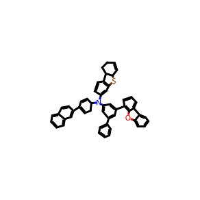 C1=CC2Sc3cc(N(c4cc(-c5ccccc5)cc(-c5cccc6c5oc5ccccc56)c4)C4C=CC(c5ccc6ccccc6c5)=CC4)ccc3C2CC1